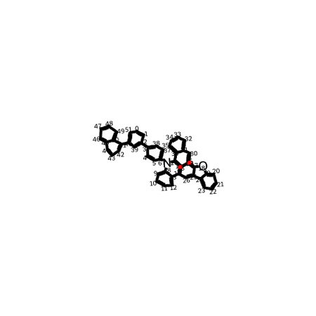 c1cc(-c2ccc(N(c3ccccc3-c3ccc4oc5ccccc5c4c3)c3cccc4ccccc34)cc2)cc(-c2cccc3ccccc23)c1